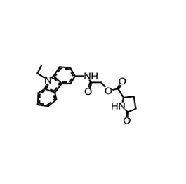 CCn1c2ccccc2c2cc(NC(=O)COC(=O)C3CCC(=O)N3)ccc21